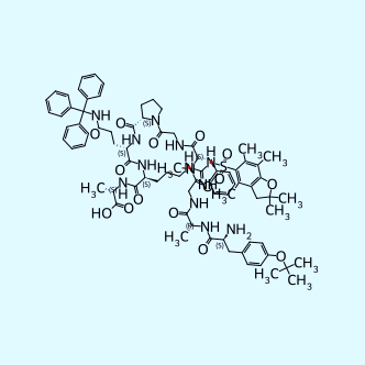 Cc1c(C)c(S(=O)(=O)NC(=N)NCCC[C@H](NC(=O)[C@H](CCC(=O)NC(c2ccccc2)(c2ccccc2)c2ccccc2)NC(=O)[C@@H]2CCCN2C(=O)CNC(=O)[C@H](Cc2ccccc2)N(C)C(=O)CNC(=O)[C@@H](C)NC(=O)[C@@H](N)Cc2ccc(OC(C)(C)C)cc2)C(=O)N[C@@H](C)C(=O)O)c(C)c2c1OC(C)(C)C2